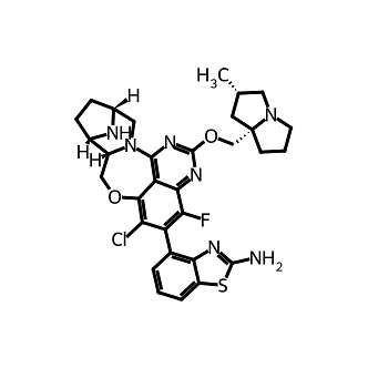 C[C@@H]1CN2CCC[C@@]2(COc2nc3c4c(c(Cl)c(-c5cccc6sc(N)nc56)c(F)c4n2)OC[C@@H]2[C@@H]4CC[C@H](CN32)N4)C1